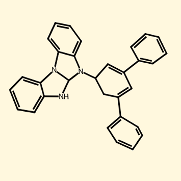 C1=C(c2ccccc2)C=C(c2ccccc2)CC1N1c2ccccc2N2c3ccccc3NC21